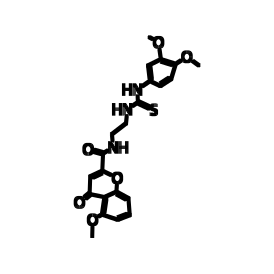 COc1ccc(NC(=S)NCCNC(=O)c2cc(=O)c3c(OC)cccc3o2)cc1OC